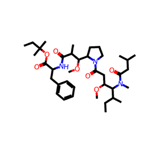 CCC(C)C(C(CC(=O)N1CCCC1C(OC)C(C)C(=O)NC(Cc1ccccc1)C(=O)OC(C)(C)CC)OC)N(C)C(=O)CC(C)C